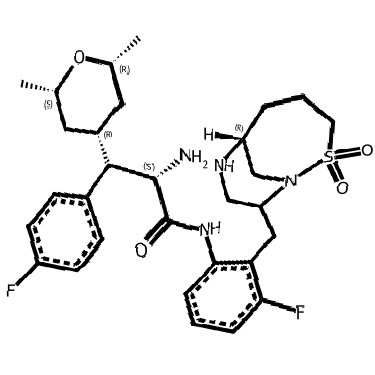 C[C@@H]1C[C@H](C(c2ccc(F)cc2)[C@H](N)C(=O)Nc2cccc(F)c2CC2CN[C@@H]3CCCS(=O)(=O)N2C3)C[C@H](C)O1